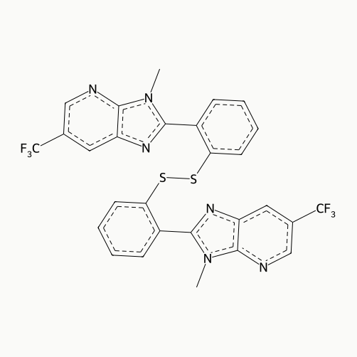 Cn1c(-c2ccccc2SSc2ccccc2-c2nc3cc(C(F)(F)F)cnc3n2C)nc2cc(C(F)(F)F)cnc21